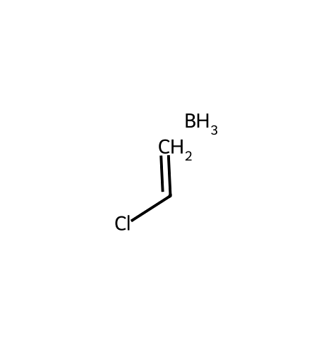 B.C=CCl